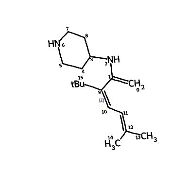 C=C(NC1CCNCC1)/C(=C\C=C(C)C)C(C)(C)C